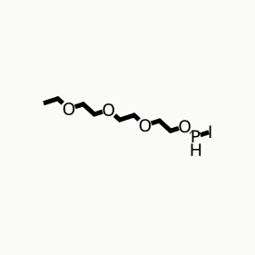 CCOCCOCCOCCOPI